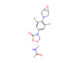 CC(=O)NC[C@H]1CN(c2cc(F)c(N3CC4OC4C3)c(F)c2)C(=O)O1